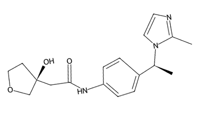 Cc1nccn1[C@@H](C)c1ccc(NC(=O)C[C@@]2(O)CCOC2)cc1